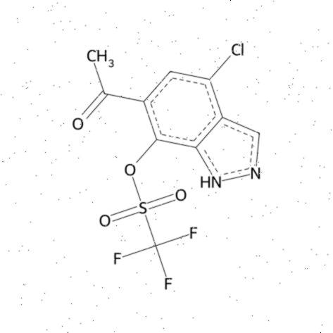 CC(=O)c1cc(Cl)c2cn[nH]c2c1OS(=O)(=O)C(F)(F)F